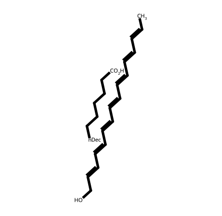 CC=CC=CC=CC=CC=CC=CC=CCO.CCCCCCCCCCCCCCCC(=O)O